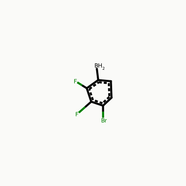 Bc1ccc(Br)c(F)c1F